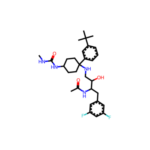 CNC(=O)NC1CCC(NCC(O)C(Cc2cc(F)cc(F)c2)NC(C)=O)(c2cccc(C(C)(C)C)c2)CC1